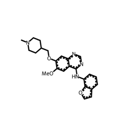 COc1cc2c(Nc3cccc4ccoc34)ncnc2cc1OCC1CCN(C)CC1